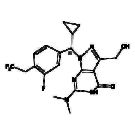 CN(C)c1nc2c(c(CO)nn2[C@H](c2ccc(CC(F)(F)F)c(F)c2)C2CC2)c(=O)[nH]1